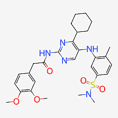 COc1ccc(CC(=O)Nc2ncc(Nc3cc(S(=O)(=O)N(C)C)ccc3C)c(C3CCCCC3)n2)cc1OC